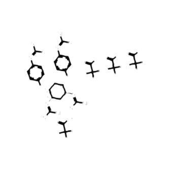 NC(N)=Nc1ccc(O[C@H]2C[C@@H](Oc3ccc(N=C(N)N)cc3)[C@H](N=C(N)N)C[C@@H]2N=C(N)N)cc1.O=C(O)C(F)(F)F.O=C(O)C(F)(F)F.O=C(O)C(F)(F)F.O=C(O)C(F)(F)F